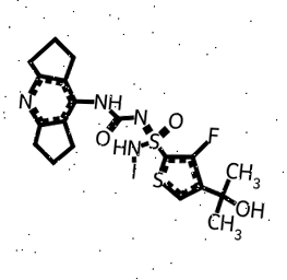 CC(C)(O)c1csc(S(=O)(=NC(=O)Nc2c3c(nc4c2CCC4)CCC3)NI)c1F